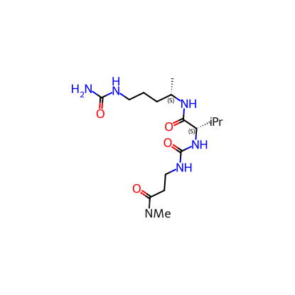 CNC(=O)CCNC(=O)N[C@H](C(=O)N[C@@H](C)CCCNC(N)=O)C(C)C